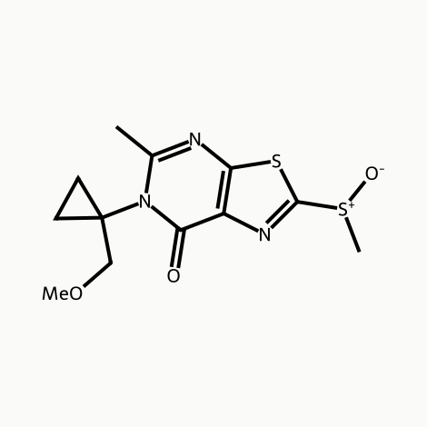 COCC1(n2c(C)nc3sc([S+](C)[O-])nc3c2=O)CC1